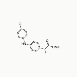 COC(=O)C(C)c1ccc(Nc2ccc(Cl)cc2)cc1